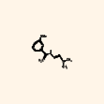 C=C(N/N=C/N(C)C)c1cccc(NC)n1